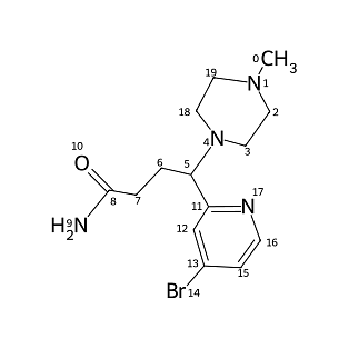 CN1CCN(C(CCC(N)=O)c2cc(Br)ccn2)CC1